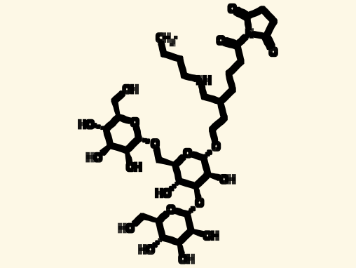 [CH2]CCCNCC(CCCC(=O)N1C(=O)CCC1=O)CCO[C@H]1O[C@H](CO[C@H]2O[C@H](CO)[C@@H](O)[C@H](O)[C@@H]2O)[C@@H](O)[C@H](O[C@H]2O[C@H](CO)[C@@H](O)[C@H](O)[C@@H]2O)[C@@H]1O